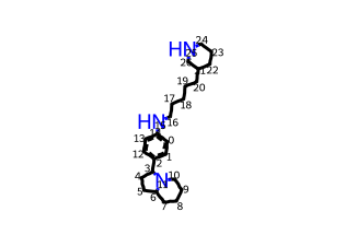 c1cc(C2CCC3CCCCN32)ccc1NCCCCCC1CCCNC1